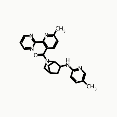 Cc1ccc(NC2CC3CC2N(C(=O)c2ccc(C)nc2-c2ncccn2)C3)nc1